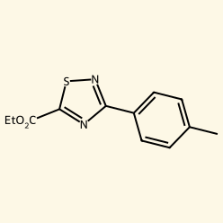 CCOC(=O)c1nc(-c2ccc(C)cc2)ns1